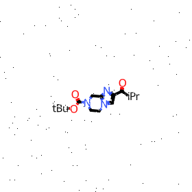 CC(C)C(=O)c1cn2c(n1)CN(C(=O)OC(C)(C)C)CC2